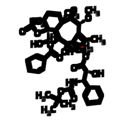 CO[C@H]1C(=O)[C@]2(C)C=C[C@@H](O)[C@](CO)(OC(C)=O)[C@H]2[C@H](OC(=O)c2ccccc2)[C@]2(O)C[C@H](OC(=O)[C@H](O)[C@@H](NC(=O)OC(C)(C)C)c3ccccc3)C(C)=C1C2(C)C